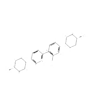 CCCC[C@H]1CC[C@H](c2ccc(-c3ccc([C@H]4CC[C@H](C)CC4)cn3)c(F)c2)CC1